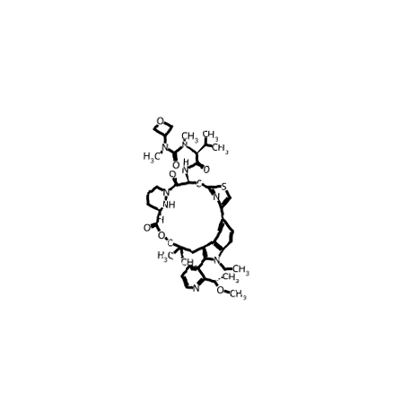 CCn1c(-c2cccnc2[C@H](C)OC)c2c3cc(ccc31)-c1csc(n1)C[C@H](NC(=O)[C@H](C(C)C)N(C)C(=O)N(C)C1COC1)C(=O)N1CCC[C@H](N1)C(=O)OCC(C)(C)C2